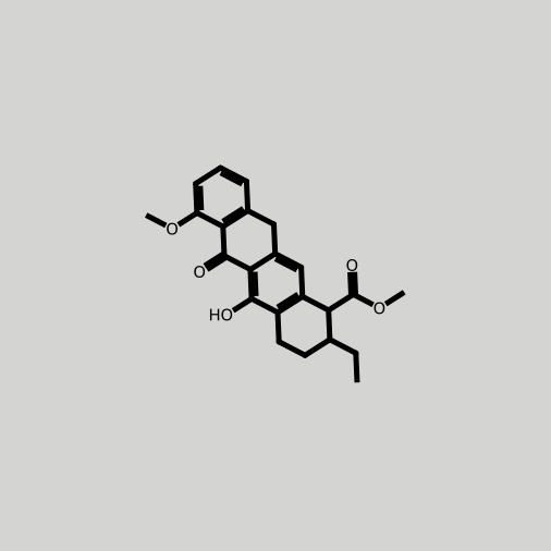 CCC1CCc2c(cc3c(c2O)C(=O)c2c(cccc2OC)C3)C1C(=O)OC